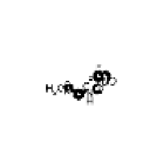 Cc1nc(-c2cccc(C(=O)NC3CCN(Cn4c(=O)ccc5c(F)cc(F)cc54)CC3)c2)cs1